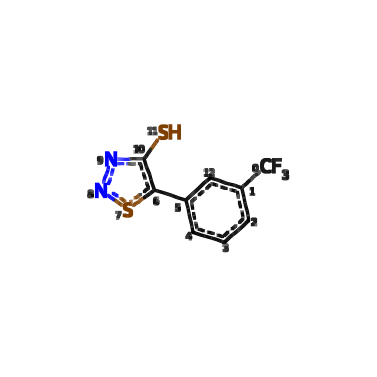 FC(F)(F)c1cccc(-c2snnc2S)c1